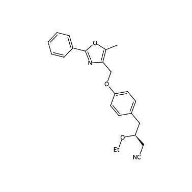 CCO[C@H](CC#N)Cc1ccc(OCc2nc(-c3ccccc3)oc2C)cc1